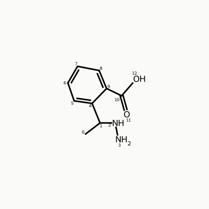 CC(NN)c1ccccc1C(=O)O